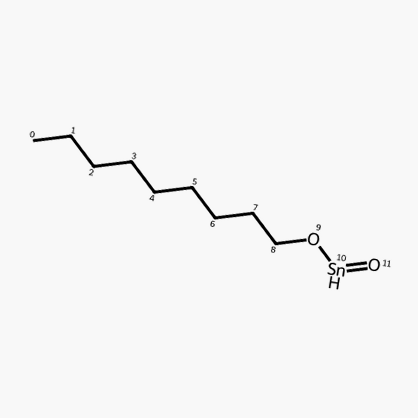 CCCCCCCCC[O][SnH]=[O]